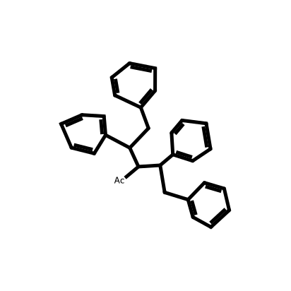 CC(=O)C(C(Cc1ccccc1)c1ccccc1)C(Cc1ccccc1)c1ccccc1